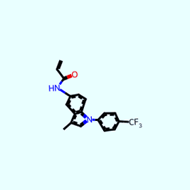 C=CC(=O)Nc1ccc2c(c1)c(C)cn2-c1ccc(C(F)(F)F)cc1